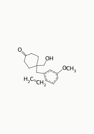 C=C.COc1cccc(CC2(CO)CCC(=O)CC2)c1